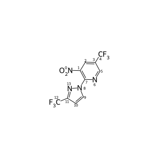 O=[N+]([O-])c1cc(C(F)(F)F)cnc1-n1ccc(C(F)(F)F)n1